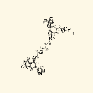 COCc1cc(CNCCCCOCCOc2cc(-c3cnns3)cc3[nH]ncc23)cc(OC(F)(F)F)c1